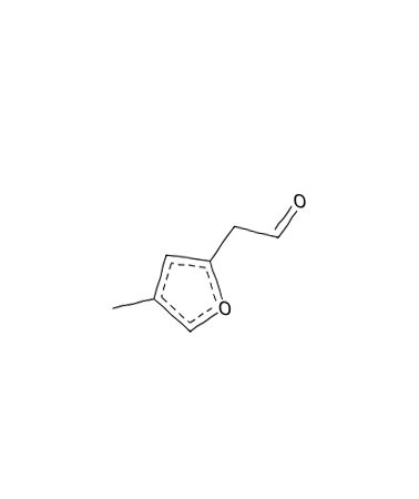 Cc1coc(CC=O)c1